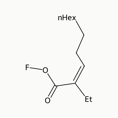 CCCCCCCCC=C(CC)C(=O)OF